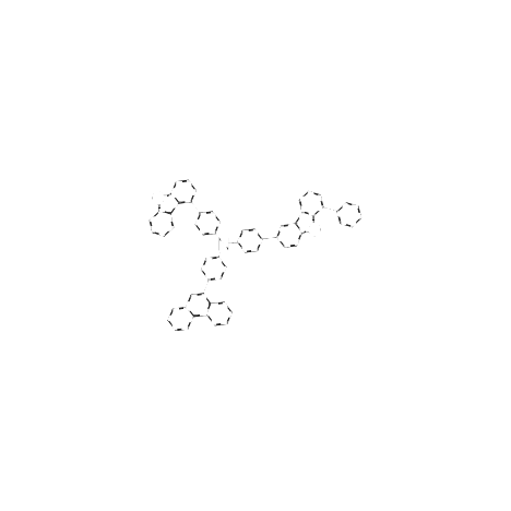 c1ccc(-c2cccc3c2oc2ccc(-c4ccc(N(c5ccc(-c6cc7ccccc7c7ccccc67)cc5)c5ccc(-c6cccc7oc8ccccc8c67)cc5)cc4)cc23)cc1